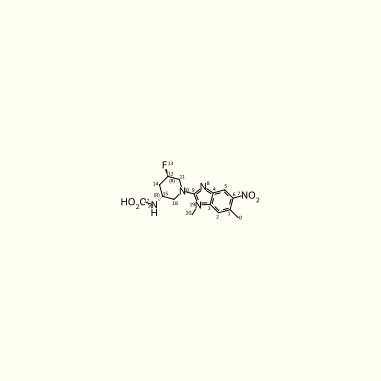 Cc1cc2c(cc1[N+](=O)[O-])nc(N1C[C@H](F)C[C@@H](NC(=O)O)C1)n2C